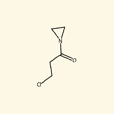 O=C(CCCl)N1CC1